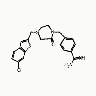 N=C(N)c1ccc(CN2CCN(Cc3cc4ccc(Cl)cc4s3)CC2=O)cc1